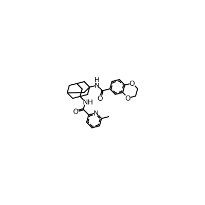 Cc1cccc(C(=O)NC23CC4CC(CC(NC(=O)c5ccc6c(c5)OCCO6)(C4)C2)C3)n1